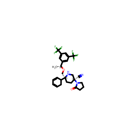 C[C@@H](OC[C@@]1(C2C=CC=CC2)CC[C@](C#N)(N2CCCC2=O)CN1)c1cc(C(F)(F)F)cc(C(F)(F)F)c1